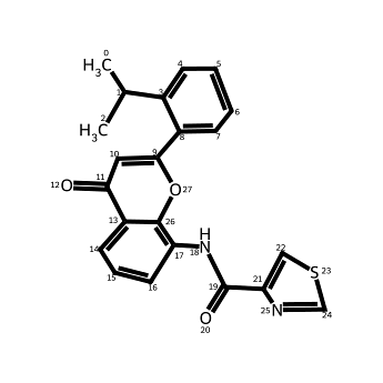 CC(C)c1ccccc1-c1cc(=O)c2cccc(NC(=O)c3cscn3)c2o1